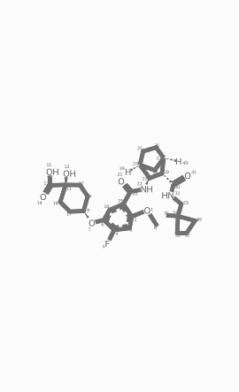 COc1cc(F)c(O[C@H]2CC[C@@](O)(C(=O)O)CC2)cc1C(=O)N[C@@H]1[C@H]2CC[C@H](C2)[C@@H]1C(=O)NCC1(C)CCC1